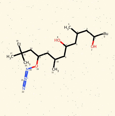 CCC(C)C(O)CC(C)CC(O)CC(C)CC(CC(C)(C)CC)ON=[N+]=[N-]